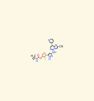 CC1(NC(=O)O[C@H]2CO[C@@H](c3cc(Nc4ncc(-c5cccnc5)c5nc(C#N)cn45)n[nH]3)[C@@H]2F)CC1